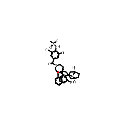 Cc1nc2ccccc2n1C1C[C@H]2CC[C@@H](C1)N2CCC1(c2cccc(F)c2)CCN(C(=O)c2cc(Cl)c(NS(C)(=O)=O)c(Cl)c2)CC1